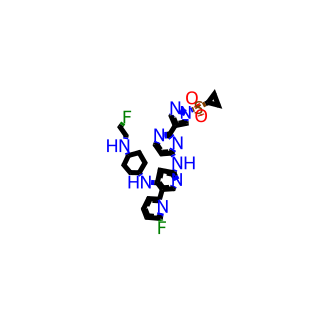 O=S(=O)(C1CC1)n1cc(-c2nccc(Nc3cc(NC4CCC(NCCF)CC4)c(-c4cccc(F)n4)cn3)n2)cn1